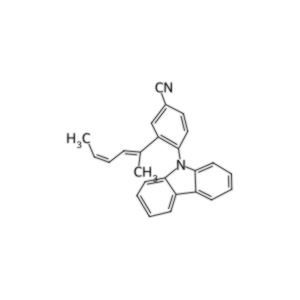 C/C=C\C=C(/C)c1cc(C#N)ccc1-n1c2ccccc2c2ccccc21